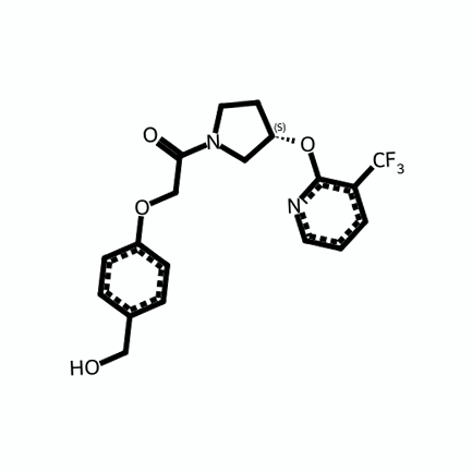 O=C(COc1ccc(CO)cc1)N1CC[C@H](Oc2ncccc2C(F)(F)F)C1